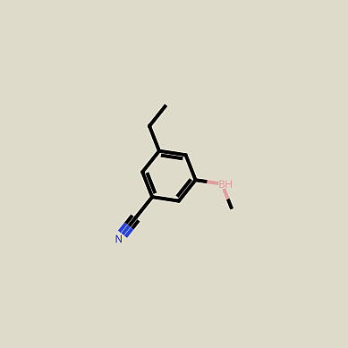 CBc1cc(C#N)cc(CC)c1